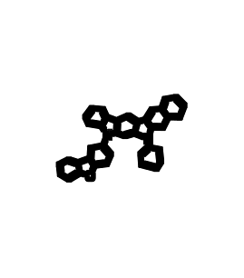 c1ccc(-n2c3cc4ccccc4cc3c3cc4c5ccccc5n(-c5ccc6oc7ccccc7c6c5)c4cc32)cc1